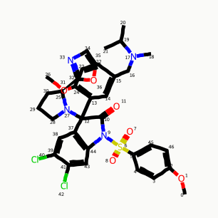 COc1ccc(S(=O)(=O)N2C(=O)C(c3cc(CN(C)C(C)C)ccc3OC)(N3CCC[C@H]3c3ncco3)c3cc(Cl)c(Cl)cc32)cc1